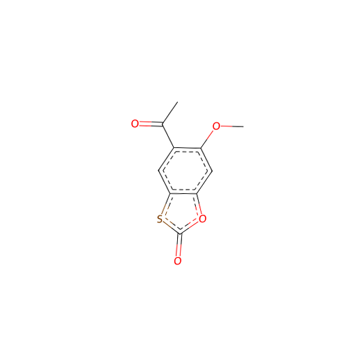 COc1cc2oc(=O)sc2cc1C(C)=O